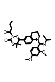 CCCC(=O)N1N=C(c2ccc3c(c2)CCCN3/C(=N\C(C)C)c2ccc(OC)cc2OC)C(C)(C)SC1=O